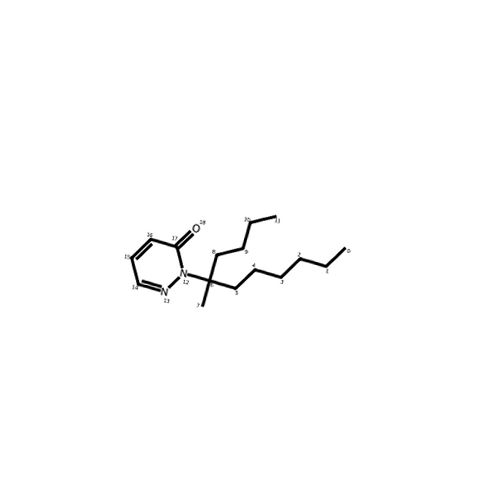 CCCCCCC(C)(CCCC)n1ncccc1=O